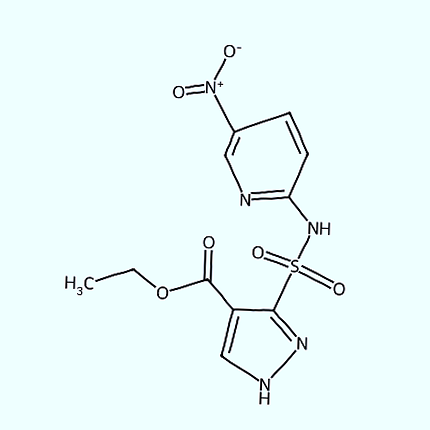 CCOC(=O)c1c[nH]nc1S(=O)(=O)Nc1ccc([N+](=O)[O-])cn1